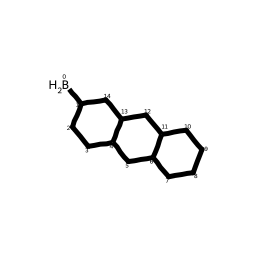 BC1CCC2CC3CCCCC3CC2C1